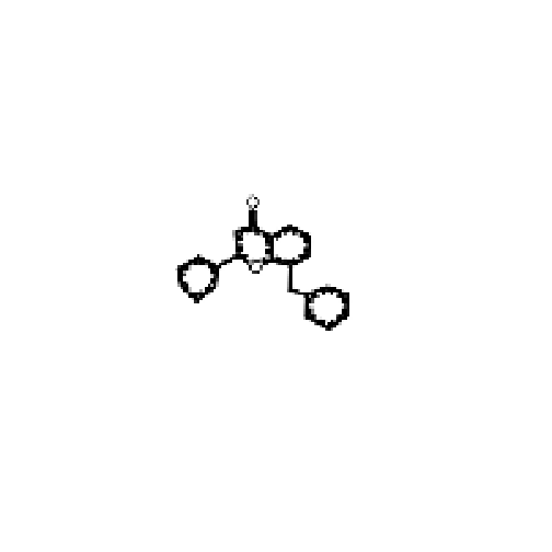 O=c1cc(-c2ccccc2)oc2c(Cc3ccccc3)cccc12